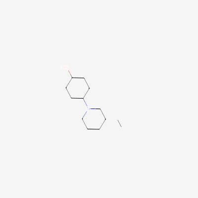 CC[C@@H]1CCCN(C2CCC(O)CC2)C1